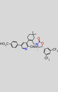 COc1ncc(-c2ccc(C(=O)O)cc2)cc1C1=C(CN2C(=O)O[C@H](c3cc(C(F)(F)F)cc(C(F)(F)F)c3)[C@@H]2C)CC(C)(C)CC1